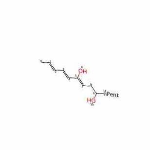 C/C=C/C=C/C(O)=C/CC(O)CCCCC